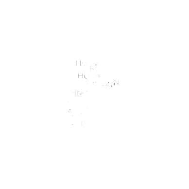 Cc1ccc(NC2=CCC(=[N+]=[N-])C(OP(=O)(O)O)=C2)cc1